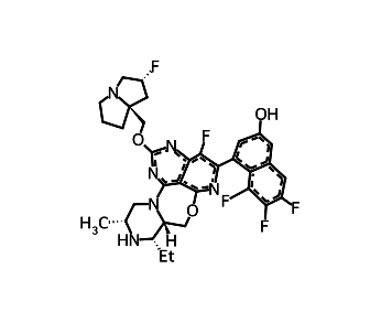 CC[C@@H]1N[C@H](C)CN2c3nc(OC[C@@]45CCCN4C[C@H](F)C5)nc4c(F)c(-c5cc(O)cc6cc(F)c(F)c(F)c56)nc(c34)OC[C@H]12